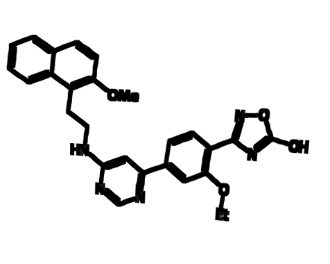 CCOc1cc(-c2cc(NCCc3c(OC)ccc4ccccc34)ncn2)ccc1-c1noc(O)n1